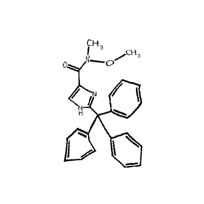 CON(C)C(=O)c1c[nH]c(C(c2ccccc2)(c2ccccc2)c2ccccc2)n1